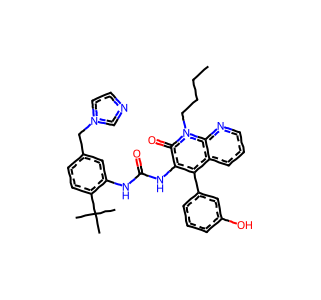 CCCCn1c(=O)c(NC(=O)Nc2cc(Cn3ccnc3)ccc2C(C)(C)C)c(-c2cccc(O)c2)c2cccnc21